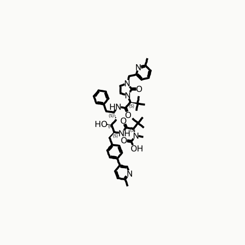 Cc1ccc(-c2ccc(C[C@H](NC(=O)[C@@H](N(C)C(=O)O)C(C)(C)C)[C@H](O)C[C@H](Cc3ccccc3)NC(=O)[C@@H](N3CCN(Cc4cccc(C)n4)C3=O)C(C)(C)C)cc2)cn1